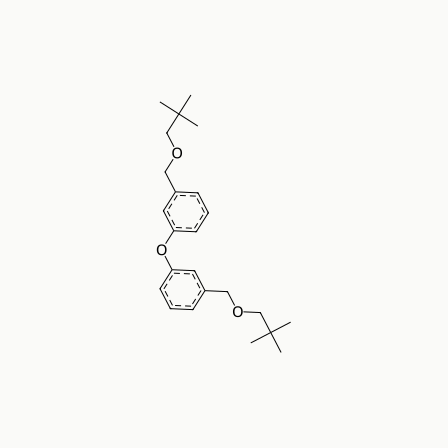 CC(C)(C)COCc1cccc(Oc2cccc(COCC(C)(C)C)c2)c1